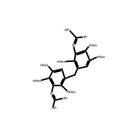 CCCCCCc1cc(Cc2cc(CCCCCC)c(CCCCCC)c(N=C(CCC)CCC)c2CCCCCC)c(CCCCCC)c(N=C(CCC)CCC)c1CCCCCC